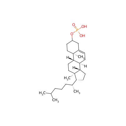 CC(C)CCC[C@@H](C)[C@H]1CC[C@H]2[C@@H]3CC=C4CC(OP(=O)(O)O)CC[C@]4(C)[C@H]3CC[C@]12C